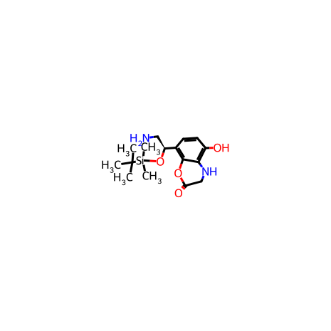 CC(C)(C)[Si](C)(C)O[C@@H](CN)c1ccc(O)c2c1OC(=O)CN2